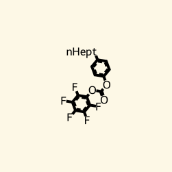 CCCCCCCc1ccc(OC(=O)Oc2c(F)c(F)c(F)c(F)c2F)cc1